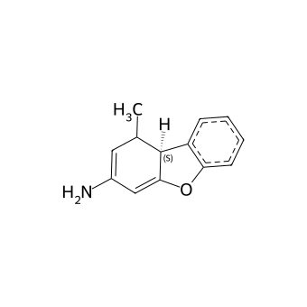 CC1C=C(N)C=C2Oc3ccccc3[C@@H]21